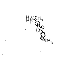 Cn1ccc2cc(SC3(C(=O)N4CCC(C(C)(C)C)CC4)CCCC3)ccc21